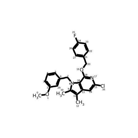 COc1cccc(Cn2c(C)c(C)c3cc(Cl)nc(OCc4ccc(F)cc4)c32)c1